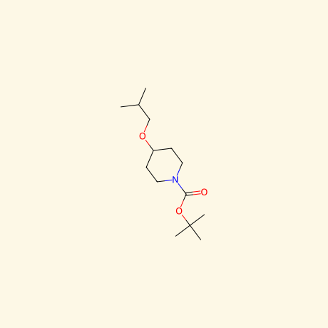 CC(C)COC1CCN(C(=O)OC(C)(C)C)CC1